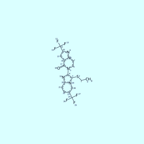 CCSc1c(-n2ccn3nc(C(F)(F)F)cc3c2=O)nc2ccc(C(F)(F)F)cn12